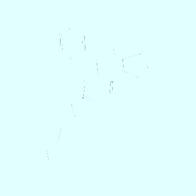 CCCCCCC(=O)N[C@@H](C(=O)N1CCCC1)[C@@H](O)c1ccncc1